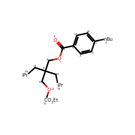 CCCCc1ccc(C(=O)OCC(COC(=O)OCC)(CC(C)C)CC(C)C)cc1